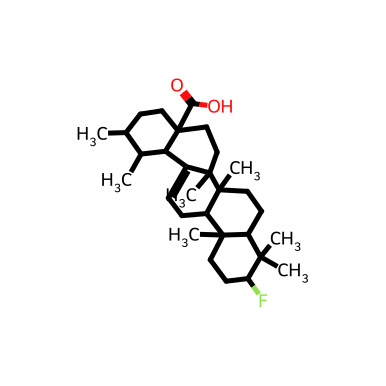 CC1CCC2(C(=O)O)CCC3(C)C(=CCC4C5(C)CCC(F)C(C)(C)C5CCC43C)C2C1C